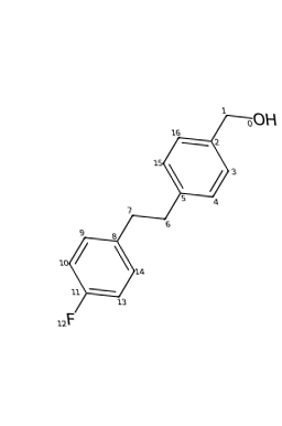 OCc1ccc(CCc2ccc(F)cc2)cc1